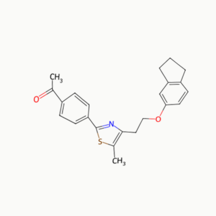 CC(=O)c1ccc(-c2nc(CCOc3ccc4c(c3)CCC4)c(C)s2)cc1